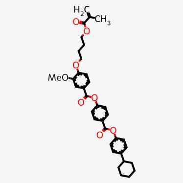 C=C(C)C(=O)OCCCCOc1ccc(C(=O)Oc2ccc(C(=O)Oc3ccc(C4CCCCC4)cc3)cc2)cc1OC